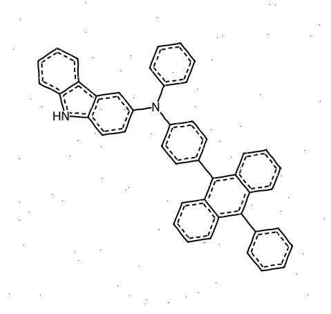 c1ccc(-c2c3ccccc3c(-c3ccc(N(c4ccccc4)c4ccc5[nH]c6ccccc6c5c4)cc3)c3ccccc23)cc1